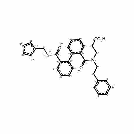 O=C(O)CCN(CCc1ccccc1)C(=O)c1ccccc1-c1ccccc1C(=O)NCc1cccs1